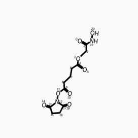 O=C(COC(=O)CCCC(=O)ON1C(=O)CCC1=O)NO